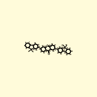 CC1(C)c2ccccc2-c2ccc(-c3ccc4c(=O)c5cc(-c6ccc7c(c6)C(C)(C)c6ccccc6-7)ccc5oc4c3)cc21